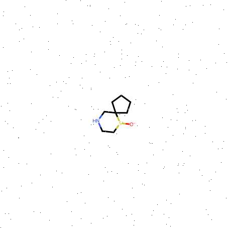 [O-][S+]1CCNCC12CCCC2